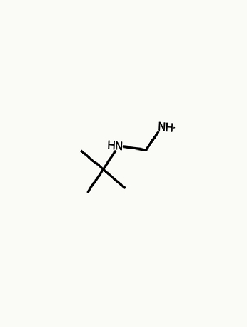 CC(C)(C)NC[NH]